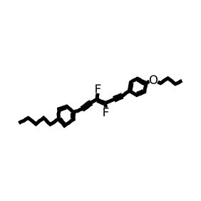 CCCCCc1ccc(C#C/C(F)=C(\F)C#Cc2ccc(OCCCC)cc2)cc1